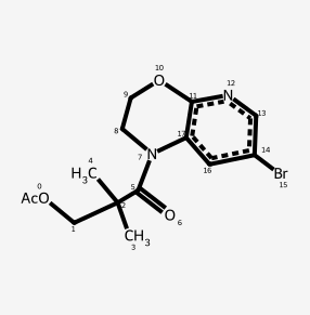 CC(=O)OCC(C)(C)C(=O)N1CCOc2ncc(Br)cc21